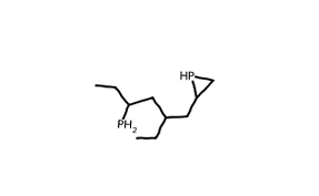 CCC(P)CC(CC)CC1CP1